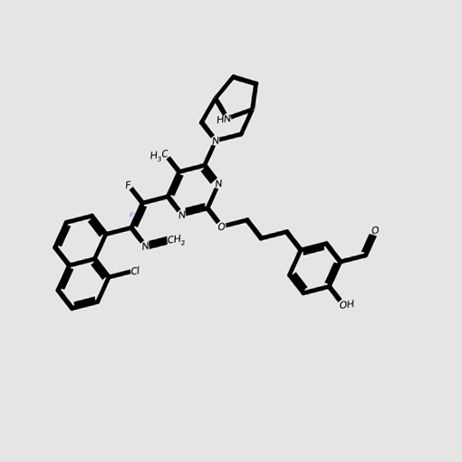 C=N/C(=C(/F)c1nc(OCCCc2ccc(O)c(C=O)c2)nc(N2CC3CCC(C2)N3)c1C)c1cccc2cccc(Cl)c12